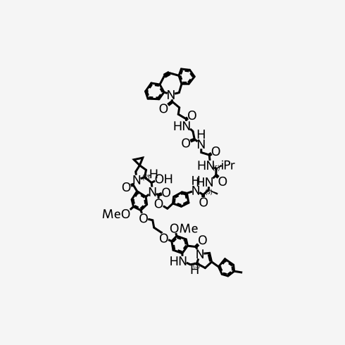 COc1cc2c(cc1OCCCOc1cc3c(cc1OC)C(=O)N1CC4(CC4)C[C@H]1C(O)N3C(=O)OCc1ccc(NC(=O)[C@H](C)NC(=O)[C@@H](NC(=O)CNC(=O)CNC(=O)CCC(=O)N3Cc4ccccc4C#Cc4ccccc43)C(C)C)cc1)NC[C@@H]1CC(c3ccc(C)cc3)=CN1C2=O